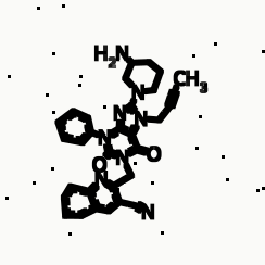 CC#CCn1c(N2CCCC(N)C2)nc2c1c(=O)n(Cc1nc3ccccc3cc1C#N)c(=O)n2-c1ccccc1